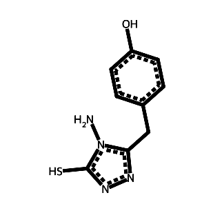 Nn1c(S)nnc1Cc1ccc(O)cc1